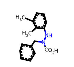 Cc1cccc(NN(Cc2ccccc2)C(=O)O)c1C